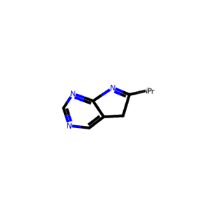 CC(C)C1=Nc2ncncc2C1